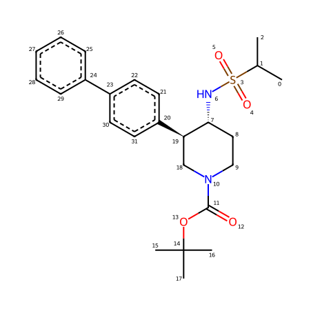 CC(C)S(=O)(=O)N[C@@H]1CCN(C(=O)OC(C)(C)C)C[C@H]1c1ccc(-c2ccccc2)cc1